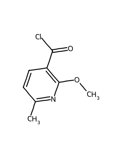 COc1nc(C)ccc1C(=O)Cl